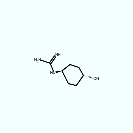 N=C(N)N[C@H]1CC[C@H](O)CC1